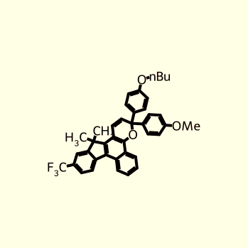 CCCCOc1ccc(C2(c3ccc(OC)cc3)C=Cc3c4c(c5ccccc5c3O2)-c2ccc(C(F)(F)F)cc2C4(C)C)cc1